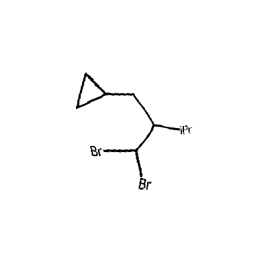 CC(C)C(CC1CC1)C(Br)Br